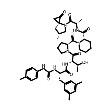 Cc1ccc(NC(=O)N[C@@H](Cc2cc(C)cc(C)c2)C(=O)N[C@H](C(=O)N2CCC[C@H]2C(=O)N2CCCC[C@H]2C(=O)N[C@@H](C)C(=O)N2C[C@H](C)C[C@@]23CC3=O)[C@H](C)O)cc1